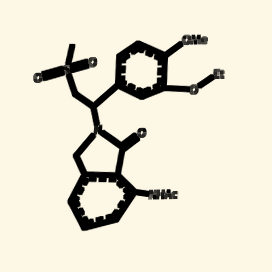 CCOc1cc(C(CS(C)(=O)=O)N2Cc3cccc(NC(C)=O)c3C2=O)ccc1OC